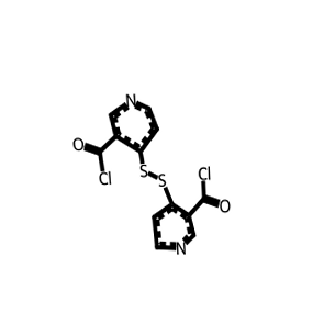 O=C(Cl)c1cnccc1SSc1ccncc1C(=O)Cl